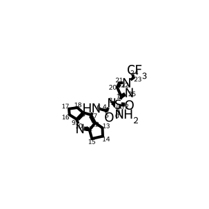 N[S@@](=O)(=NC(=O)Nc1c2c(nc3c1CCC3)CCC2)c1ccn(CC(F)(F)F)n1